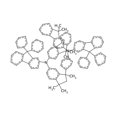 CC1(C)CC(C)(c2ccc(N(c3ccc4c(c3)C(C)(C)c3ccccc3-4)c3ccc4c(c3)C(c3ccccc3)(c3ccccc3)c3ccccc3-4)cc2)c2cc(N(c3ccc4c(c3)C(C)(C)c3ccccc3-4)c3ccc4c(c3)C(c3ccccc3)(c3ccccc3)c3ccccc3-4)ccc21